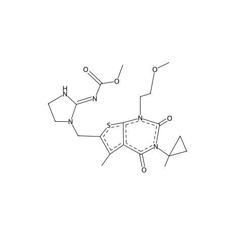 COCCn1c(=O)n(C2(C)CC2)c(=O)c2c(C)c(CN3CCNC3=NC(=O)OC)sc21